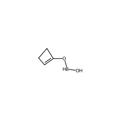 OBOC1=CCC1